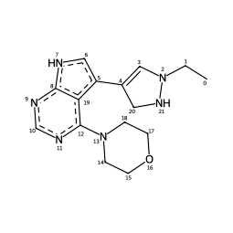 CCN1C=C(c2c[nH]c3ncnc(N4CCOCC4)c23)CN1